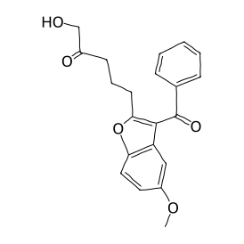 COc1ccc2oc(CCCC(=O)CO)c(C(=O)c3ccccc3)c2c1